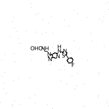 O=CNCCn1cnc2cnc(Nc3ncc(-c4ccc(F)cc4)s3)cc21